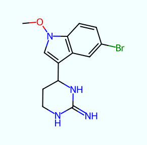 COn1cc(C2CCNC(=N)N2)c2cc(Br)ccc21